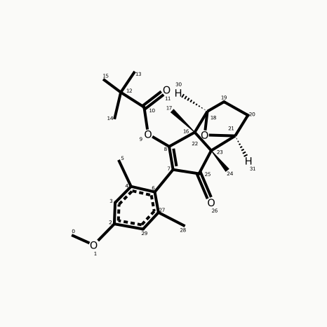 COc1cc(C)c(C2=C(OC(=O)C(C)(C)C)[C@]3(C)[C@H]4CC[C@H](O4)[C@]3(C)C2=O)c(C)c1